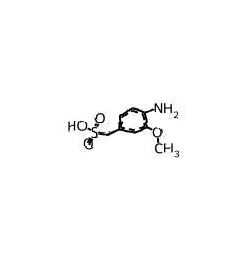 COc1cc(CS(=O)(=O)O)ccc1N